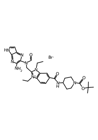 CCn1c(CN(C=O)c2nc3cc[nH]c3nc2N)[n+](CC)c2ccc(C(=O)NC3CCN(C(=O)OC(C)(C)C)CC3)cc21.[Br-]